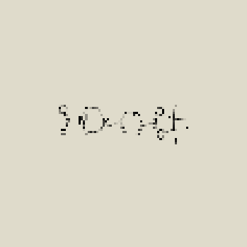 CC1(C)OB(c2ccc(N3CCN(C(=O)F)CC3)cc2)OC1(C)C